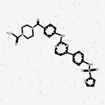 CC(=O)N1CCN(C(=O)c2ccc(Nc3nccc(-c4ccc(NS(=O)(=O)c5cccs5)cc4)n3)cc2)CC1